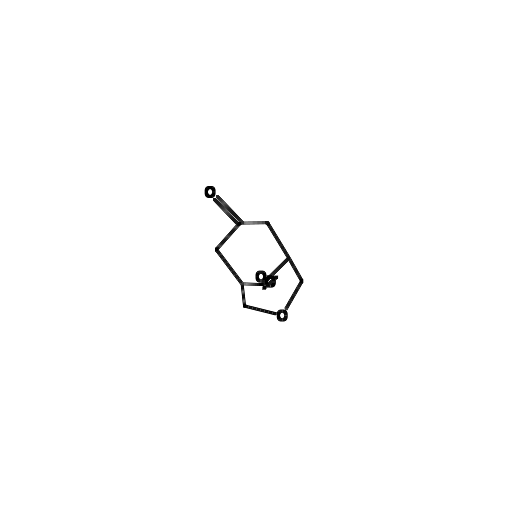 O=C1CC2COCC(C1)C21OCCO1